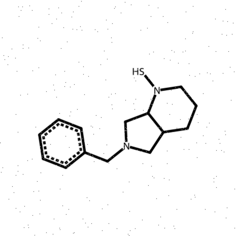 SN1CCCC2CN(Cc3ccccc3)CC21